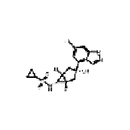 O=S(=O)(N[C@@H]1[C@@H]2C[C@@](O)(c3cc(Cl)cc4[nH]ncc34)C[C@@H]21)C1CC1